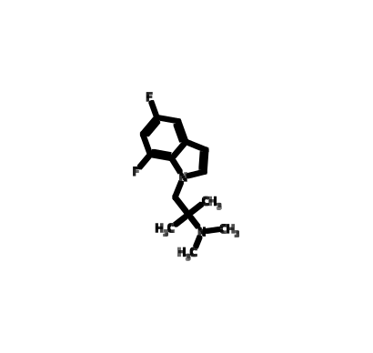 CN(C)C(C)(C)Cn1ccc2cc(F)cc(F)c21